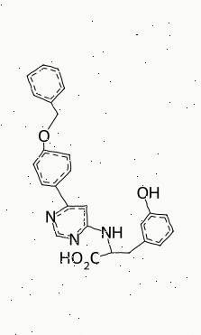 O=C(O)C(Cc1cccc(O)c1)Nc1cc(-c2ccc(OCc3ccccc3)cc2)ncn1